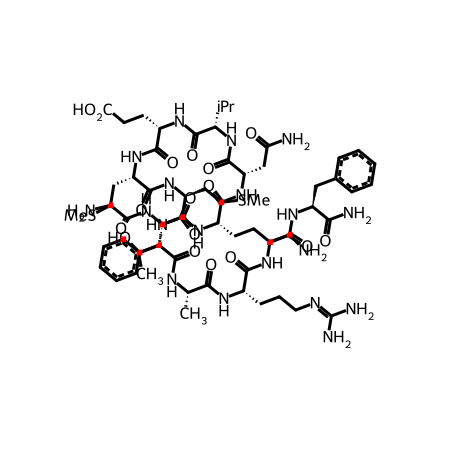 CSCC[C@H](NC(=O)[C@H](CCC(=O)O)NC(=O)[C@@H](NC(=O)[C@H](CC(N)=O)NC(=O)[C@H](CCCCN)NC(=O)[C@H](Cc1ccccc1)NC(=O)CN)C(C)C)C(=O)N[C@@H](CCSC)C(=O)N[C@H](C(=O)N[C@@H](C)C(=O)N[C@@H](CCCN=C(N)N)C(=O)NCC(=O)N[C@@H](Cc1ccccc1)C(N)=O)[C@@H](C)O